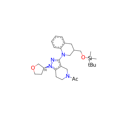 CC(=O)N1CCc2c(c(N3CC(CO[Si](C)(C)C(C)(C)C)Cc4ccccc43)nn2[C@H]2CCOC2)C1